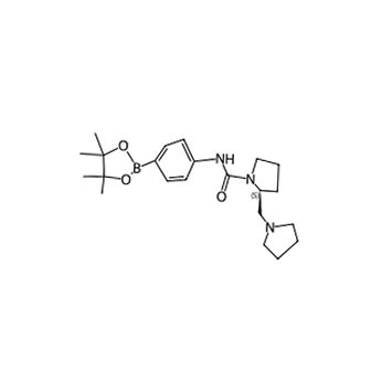 CC1(C)OB(c2ccc(NC(=O)N3CCC[C@H]3CN3CCCC3)cc2)OC1(C)C